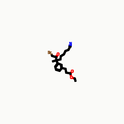 CCOC(=O)CCc1cccc(C(C)(CCCCCC#N)C(=O)CBr)c1